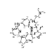 CC(=O)C(F)(F)C(=O)Nc1cc(Nc2nccc(C3=CC(C)c4ccccc43)n2)ccc1N(C)CCN(C)C